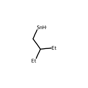 CCC(CC)[CH2][SnH]